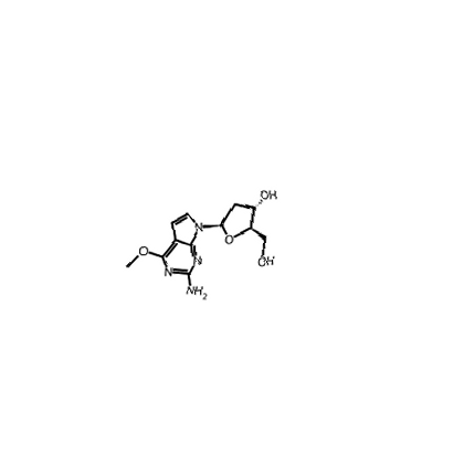 COc1nc(N)nc2c1ccn2[C@H]1C[C@H](O)[C@@H](CO)O1